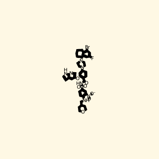 O=C(NS(=O)(=O)c1ccc(NCC2CCOCC2)c([N+](=O)[O-])c1)c1ccc(N2CCN([C@@H]3CCCCc4c(Br)cc(F)cc43)CC2)cc1Oc1cnc2[nH]ccc2c1